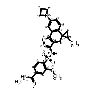 CNC(=O)c1ccc(S(=O)(=O)Nc2noc3c2CC2(CC2C)c2ccc(N4CCC4)cc2-3)c(OC)c1